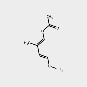 COC=CC(C)=COC(C)=O